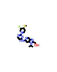 CS[C@H]1CCN(c2nccc(Nc3cc4c(cn3)nc(CO)n4C(C)C)n2)C[C@H]1F